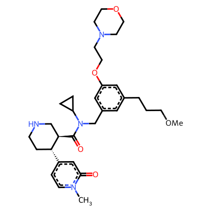 COCCCc1cc(CN(C(=O)[C@@H]2CNCC[C@H]2c2ccn(C)c(=O)c2)C2CC2)cc(OCCN2CCOCC2)c1